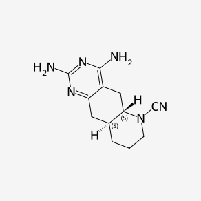 N#CN1CCC[C@H]2Cc3nc(N)nc(N)c3C[C@@H]21